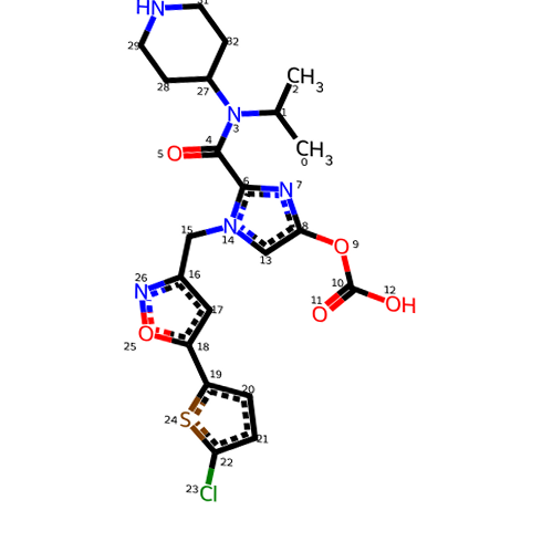 CC(C)N(C(=O)c1nc(OC(=O)O)cn1Cc1cc(-c2ccc(Cl)s2)on1)C1CCNCC1